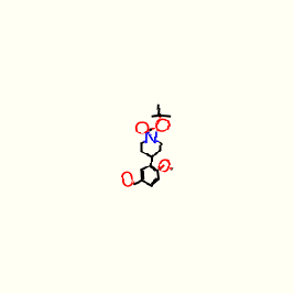 COc1ccc(C=O)cc1C1CCN(C(=O)OC(C)(C)C)CC1